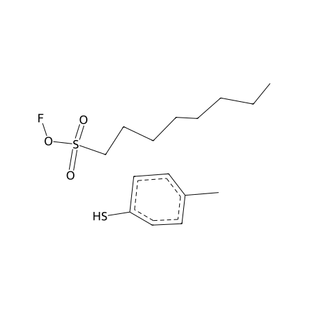 CCCCCCCCS(=O)(=O)OF.Cc1ccc(S)cc1